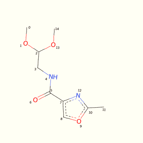 COC(CNC(=O)c1coc(C)n1)OC